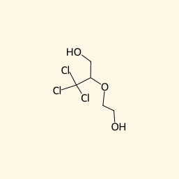 OCCOC(CO)C(Cl)(Cl)Cl